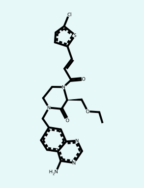 CCOC[C@H]1C(=O)N(Cc2ccc3c(N)ncnc3c2)CCN1C(=O)C=Cc1ccc(Cl)s1